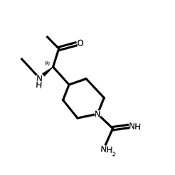 CN[C@@H](C(C)=O)C1CCN(C(=N)N)CC1